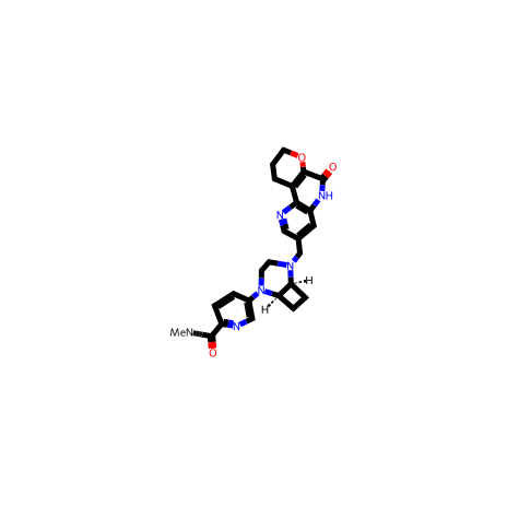 CNC(=O)c1ccc(N2CCN(Cc3cnc4c5c(c(=O)[nH]c4c3)OCCC5)[C@H]3CC[C@H]32)cn1